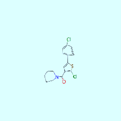 O=C(c1cc(-c2ccc(Cl)cc2)sc1Cl)N1CCCCC1